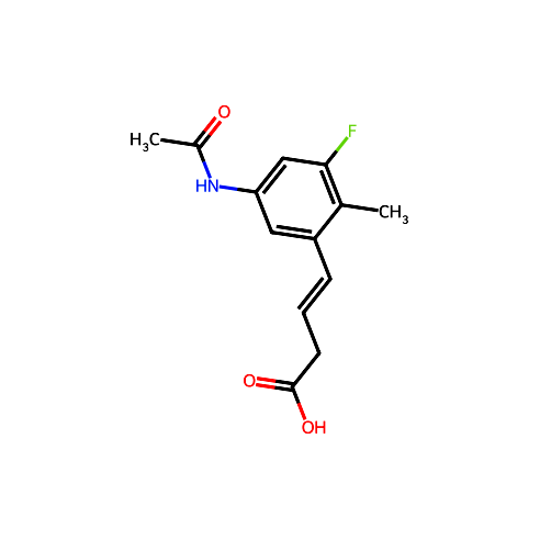 CC(=O)Nc1cc(F)c(C)c(C=CCC(=O)O)c1